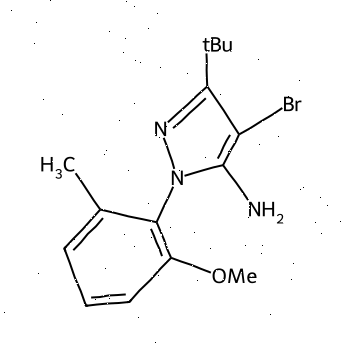 COc1cccc(C)c1-n1nc(C(C)(C)C)c(Br)c1N